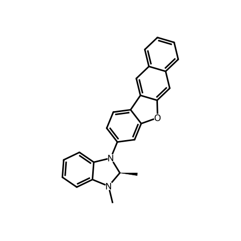 C[C@H]1N(C)c2ccccc2N1c1ccc2c(c1)oc1cc3ccccc3cc12